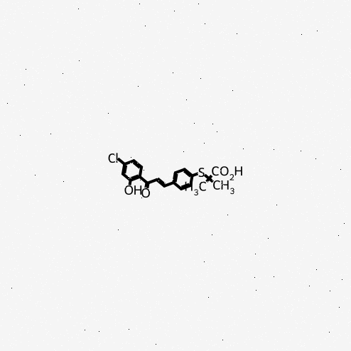 CC(C)(Sc1ccc(/C=C/C(=O)c2ccc(Cl)cc2O)cc1)C(=O)O